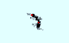 Cc1c(C(=O)N[C@@H](C)CC2CC(Oc3nn(C)cc3C(N)=O)C2)cnn1-c1ccc(C#N)cc1